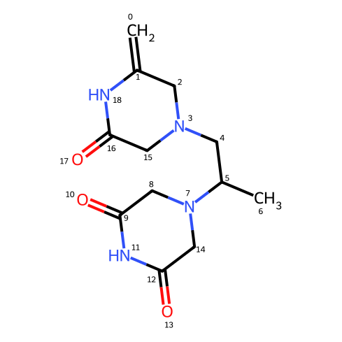 C=C1CN(CC(C)N2CC(=O)NC(=O)C2)CC(=O)N1